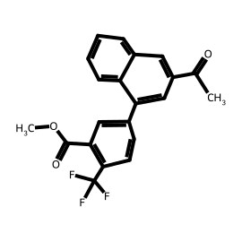 COC(=O)c1cc(-c2cc(C(C)=O)cc3ccccc23)ccc1C(F)(F)F